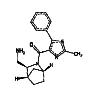 Cc1nc(C(=O)N2[C@@H]3CC[C@@H](C3)[C@H]2CN)c(-c2ccccc2)s1